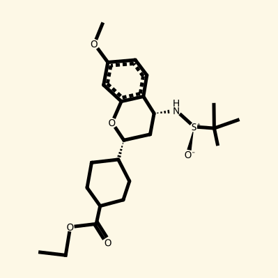 CCOC(=O)C1CCC([C@H]2C[C@@H](N[S@+]([O-])C(C)(C)C)c3ccc(OC)cc3O2)CC1